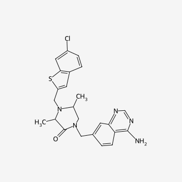 CC1CN(Cc2ccc3c(N)ncnc3c2)C(=O)C(C)N1Cc1cc2ccc(Cl)cc2s1